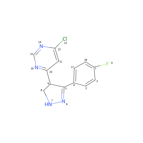 Fc1ccc(C2=NNCC2c2cc(Cl)ncn2)cc1